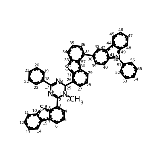 CN1C(c2cccc3c2sc2ccccc23)=NC(c2ccccc2)=NC1c1cccc2c1sc1cccc(-c3ccc4c(c3)c3ccccc3n4-c3ccccc3)c12